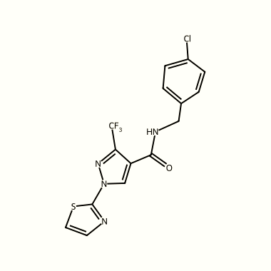 O=C(NCc1ccc(Cl)cc1)c1cn(-c2nccs2)nc1C(F)(F)F